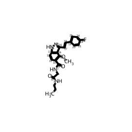 CCCNC(=O)CNC(=O)c1ccc2[nH]nc(/C=C/c3ccc(F)cc3)c2c1OC